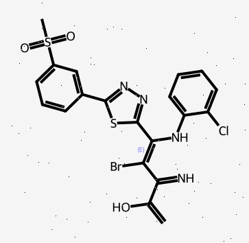 C=C(O)C(=N)/C(Br)=C(\Nc1ccccc1Cl)c1nnc(-c2cccc(S(C)(=O)=O)c2)s1